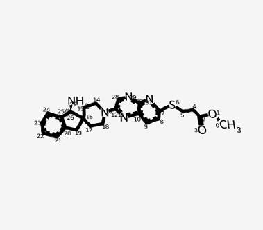 COC(=O)CCSc1ccc2nc(N3CCC4(CC3)Cc3ccccc3[C@H]4N)cnc2n1